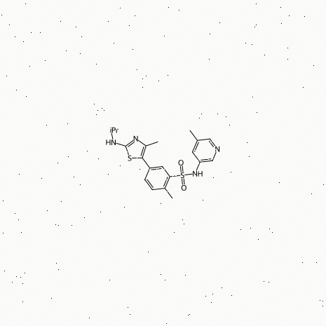 Cc1cncc(NS(=O)(=O)c2cc(-c3sc(NC(C)C)nc3C)ccc2C)c1